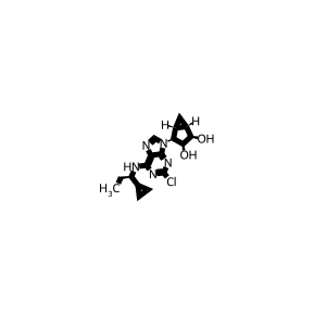 CC[C@@H](Nc1nc(Cl)nc2c1ncn2[C@H]1[C@H](O)[C@H](O)[C@@H]2C[C@@H]21)C1CC1